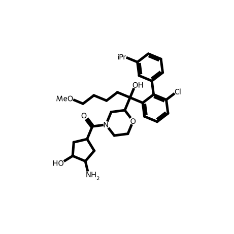 COCCCCC(O)(c1cccc(Cl)c1-c1cccc(C(C)C)c1)C1CN(C(=O)C2CC(N)C(O)C2)CCO1